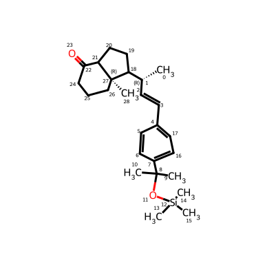 C[C@H](C=Cc1ccc(C(C)(C)O[Si](C)(C)C)cc1)C1CCC2C(=O)CCC[C@@]21C